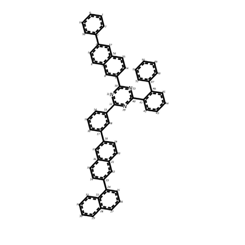 c1ccc(-c2ccc3cc(-c4nc(-c5cccc(-c6ccc7cc(-c8cccc9ccccc89)ccc7c6)c5)nc(-c5ccccc5-c5ccccc5)n4)ccc3c2)cc1